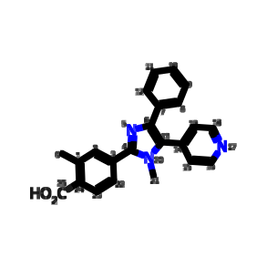 Cc1cc(-c2nc(-c3ccccc3)c(-c3ccncc3)n2C)ccc1C(=O)O